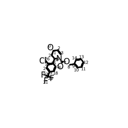 O=C1C=CN(C(=O)OCc2ccccc2)C(c2ccc(C(F)(F)F)cc2Cl)C1